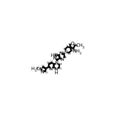 C[C@@H]1OCC2(CCN(c3cnc4c(N5CCNc6nc(-c7cnn(C)c7)ccc65)n[nH]c4n3)CC2)[C@@H]1N